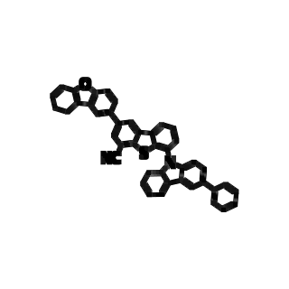 N#Cc1cc(-c2ccc3oc4c(c3c2)CCC=C4)cc2c1sc1c(-n3c4ccccc4c4cc(-c5ccccc5)ccc43)cccc12